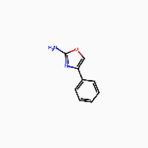 Nc1nc(-c2ccccc2)co1